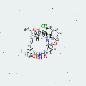 CO[C@]1(C[C@H](O)C(C)C)/C=C/C[C@H](C)[C@@H](C)S(=O)(=O)NC(=O)c2ccc3c(c2)N(C[C@@H]2CC[C@H]21)C[C@@]1(CCCc2cc(Cl)ccc21)CO3